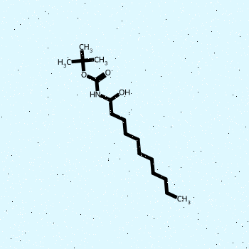 CCCCCCCCCCC(O)NC(=O)OC(C)(C)C